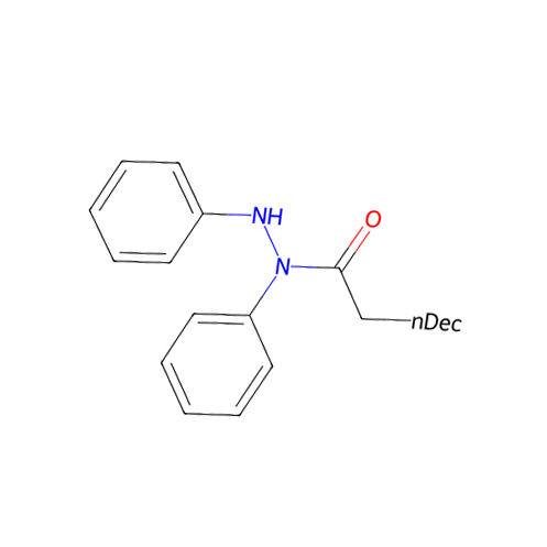 CCCCCCCCCCCC(=O)N(Nc1ccccc1)c1ccccc1